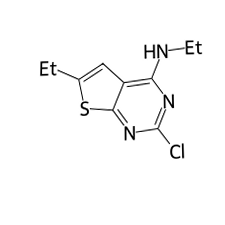 CCNc1nc(Cl)nc2sc(CC)cc12